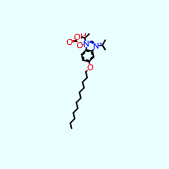 CCCCCCCCCCCCOc1ccc2c(c1)[N+](C(C)C)=C[N+]2(OC(=O)O)C(C)C